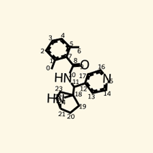 Cc1cccc(C)c1C(=O)NC(c1ccncc1)C12CCC(CC1)N2